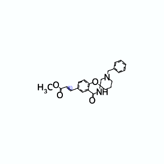 COC(=O)/C=C/c1ccc2c(c1)C(=O)NC1(CCCN(Cc3ccccc3)C1)O2